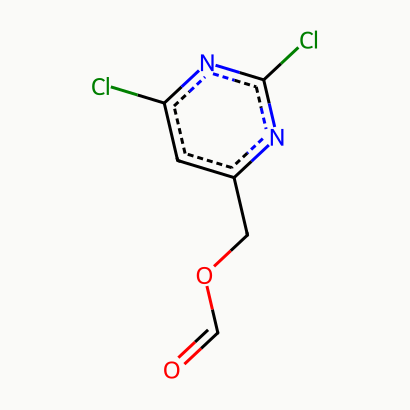 O=COCc1cc(Cl)nc(Cl)n1